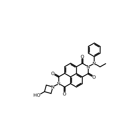 CCN(c1ccccc1)N1C(=O)c2ccc3c4c(ccc(c24)C1=O)C(=O)N(N1CC(O)C1)C3=O